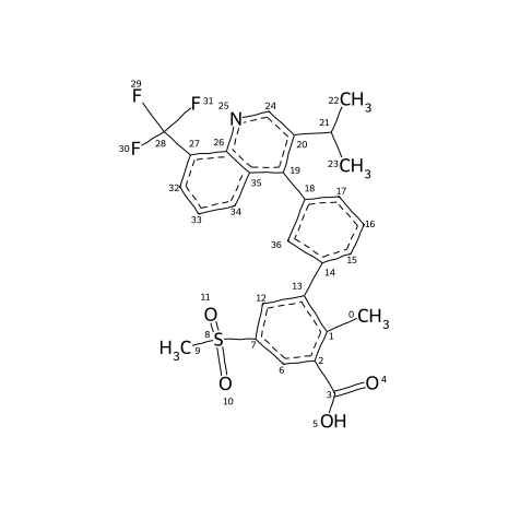 Cc1c(C(=O)O)cc(S(C)(=O)=O)cc1-c1cccc(-c2c(C(C)C)cnc3c(C(F)(F)F)cccc23)c1